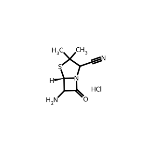 CC1(C)S[C@H]2C(N)C(=O)N2C1C#N.Cl